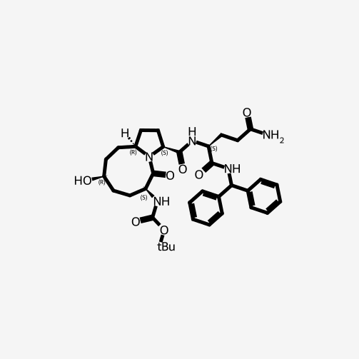 CC(C)(C)OC(=O)N[C@H]1CC[C@@H](O)CC[C@H]2CC[C@@H](C(=O)N[C@@H](CCC(N)=O)C(=O)NC(c3ccccc3)c3ccccc3)N2C1=O